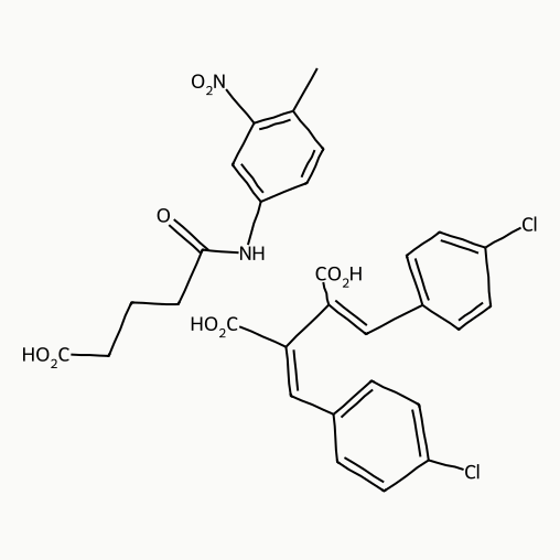 Cc1ccc(NC(=O)CCCC(=O)O)cc1[N+](=O)[O-].O=C(O)C(=Cc1ccc(Cl)cc1)C(=Cc1ccc(Cl)cc1)C(=O)O